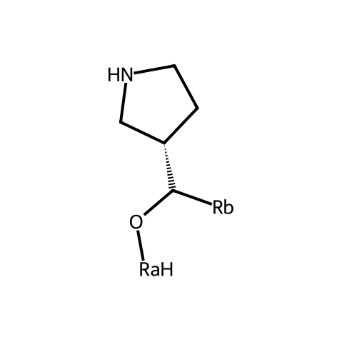 [Rb][CH]([O][RaH])[C@H]1CCNC1